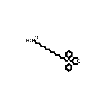 O=C(O)CCCCCCCCCCCCC[PH](c1ccccc1)(c1ccccc1)C1CCOCC1